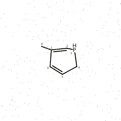 CC1=CPCC=C1